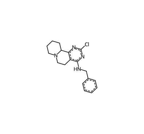 Clc1nc(NCc2ccccc2)c2c(n1)C1CCCCN1CC2